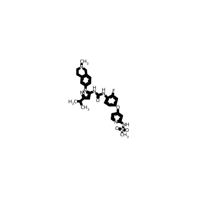 CC(C)c1cc(NC(=O)Nc2ccc(Oc3ccnc(NS(C)(=O)=O)c3)cc2F)n(-c2ccc3c(c2)CCN(C)C3)n1